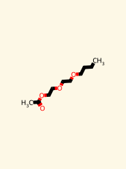 CCCCOCCOCCOC(C)=O